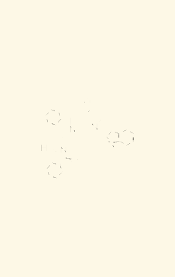 CN(C[C@H](Cc1ccccc1)NCCN[C@H](CC(=O)O)Cc1c[nH]c2ccccc12)C(=O)c1ccccc1